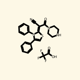 N#CC(C(=O)N1CCNCC1)=C1SC=C(c2ccccc2)N1c1ccccc1.O=C(O)C(F)(F)F